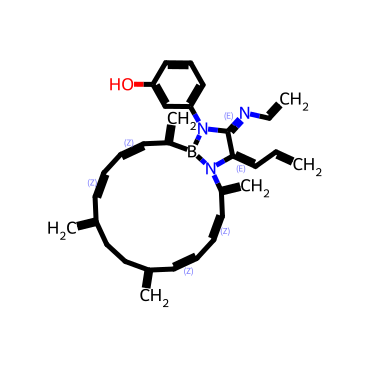 C=C/C=C1\C(=N/C=C)N(c2cccc(O)c2)B2C(=C)/C=C\C=C/C(=C)CCC(=C)/C=C\C=C/C(=C)N21